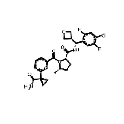 C[C@@H]1CC[C@H](C(=O)N[C@@H](c2cc(F)c(Cl)cc2F)C2COC2)N1C(=O)c1cccc(C2(C(N)=O)CC2)c1